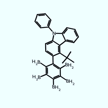 Bc1c(B)c(B)c(-c2ccc3c(c2C(C)(C)C)c2ccccc2n3-c2ccccc2)c(B)c1B